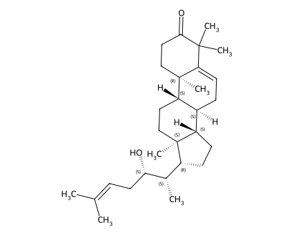 CC(C)=CC[C@H](O)[C@@H](C)[C@H]1CC[C@H]2[C@@H]3CC=C4C(C)(C)C(=O)CC[C@]4(C)[C@H]3CC[C@]12C